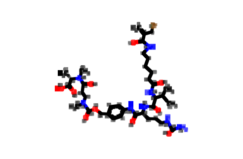 C=C(CBr)C(=O)NCCCCCC(=O)N[C@H](C(=O)N[C@@H](CCCNC(N)=O)C(=O)Nc1ccc(COC(=O)N(C)CCC(=O)N(C)[C@@H](C)C(=O)O)cc1)C(C)C